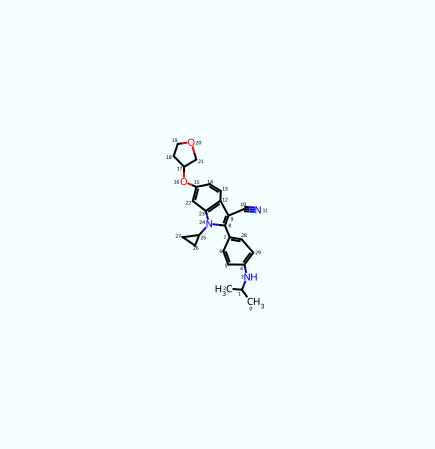 CC(C)Nc1ccc(-c2c(C#N)c3ccc(OC4CCOC4)cc3n2C2CC2)cc1